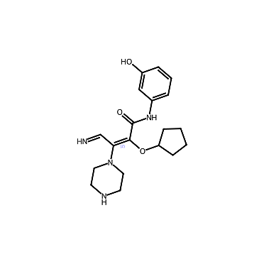 N=C/C(=C(/OC1CCCC1)C(=O)Nc1cccc(O)c1)N1CCNCC1